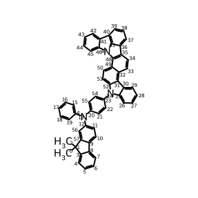 CC1(C)c2ccccc2-c2ccc(N(c3ccccc3)c3ccc(-n4c5ccccc5c5c6ccc7c8cccc9c%10ccccc%10n(c7c6ccc54)c98)cc3)cc21